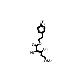 COCCC(O)=C(C#N)C(=O)OCCc1ccc(C(F)(F)F)cc1